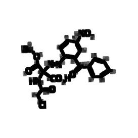 CCC(C)OC(=O)C(N=Nc1ccc([N+](=O)[O-])cc1C(=O)c1ccccc1)(NC(=O)CCl)C(=O)O